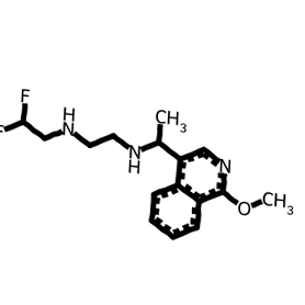 COc1ncc(C(C)NCCNCC(F)F)c2ccccc12